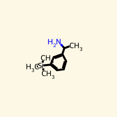 CC(N)c1cccc([Si](C)(C)C)c1